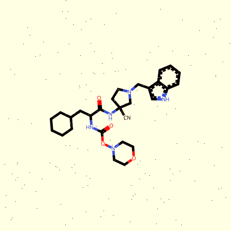 N#CC1(NC(=O)C(CC2CCCCC2)NC(=O)ON2CCOCC2)CCN(Cc2c[nH]c3ccccc23)C1